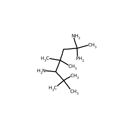 CC(N)(P)CC(C)(C)C(N)C(C)(C)C